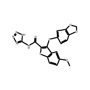 COc1ccc2sc(C(=O)Nc3nnn[nH]3)c(Sc3ccc4c(c3)OCO4)c2c1